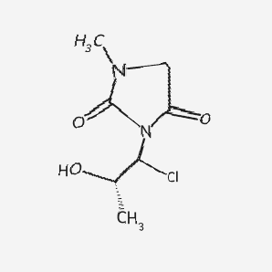 C[C@H](O)C(Cl)N1C(=O)CN(C)C1=O